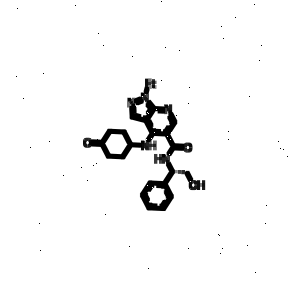 CCn1ncc2c(NC3CCC(=O)CC3)c(C(=O)N[C@H](CO)c3ccccc3)cnc21